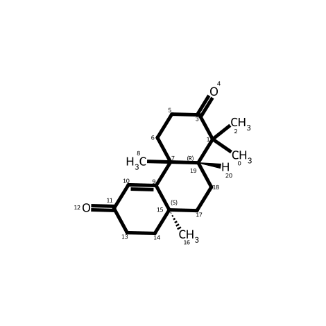 CC1(C)C(=O)CCC2(C)C3=CC(=O)CC[C@]3(C)CC[C@@H]12